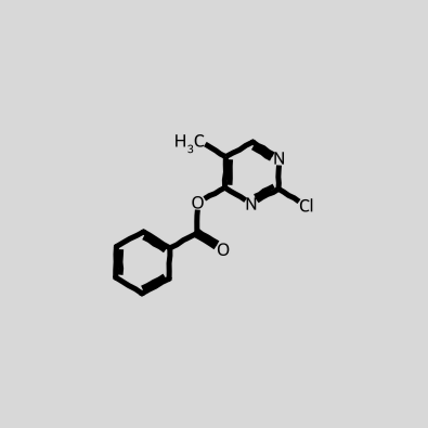 Cc1cnc(Cl)nc1OC(=O)c1ccccc1